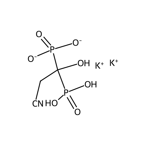 N#CCC(O)(P(=O)([O-])[O-])P(=O)(O)O.[K+].[K+]